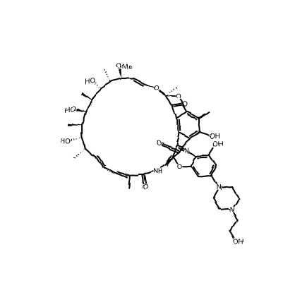 CO[C@H]1/C=C/O[C@@]2(C)Oc3c(C)c(O)c4c(=O)c(c5oc6cc(N7CCN(CCO)CC7)cc(O)c6nc-5c4c3C2=O)NC(=O)/C(C)=C\C=C\[C@H](C)[C@H](O)[C@@H](C)[C@@H](O)[C@@H](C)[C@H](O)[C@@H]1C